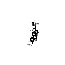 COC[C@@]1(O)CC[C@@]2(C)[C@@H](CC[C@@H]3[C@@H]2CC[C@]2(C)[C@@H](C(=O)CN4C=C(C)NN4)CC[C@@H]32)C1